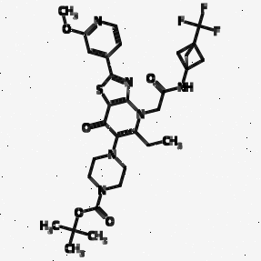 CCc1c(N2CCN(C(=O)OC(C)(C)C)CC2)c(=O)c2sc(-c3ccnc(OC)c3)nc2n1CC(=O)NC12CC(C(F)(F)F)(C1)C2